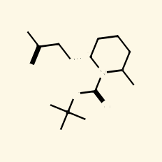 C=C(C)CC[C@@H]1CCCC(C)N1C(=O)OC(C)(C)C